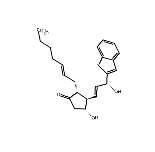 O=C(O)CCCC=CC[C@H]1C(=O)C[C@@H](O)[C@@H]1C=C[C@@H](O)c1cc2ccccc2s1